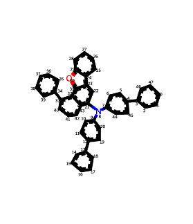 c1ccc(-c2ccc(N(c3ccc(-c4ccccc4)cc3)c3cc4c5ccccc5oc4c4c(-c5ccccc5)cccc34)cc2)cc1